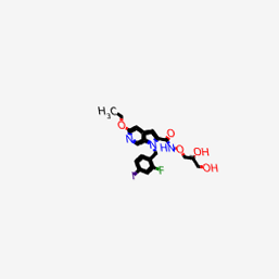 CCOc1cc2cc(C(=O)NOC[C@H](O)CO)n(Cc3ccc(I)cc3F)c2cn1